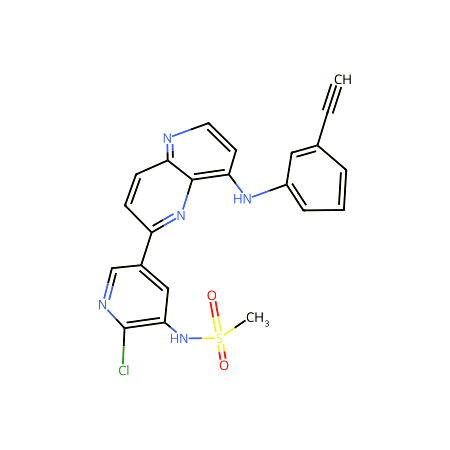 C#Cc1cccc(Nc2ccnc3ccc(-c4cnc(Cl)c(NS(C)(=O)=O)c4)nc23)c1